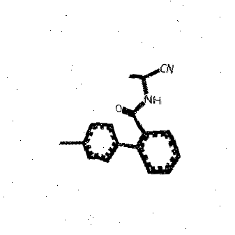 Cc1ccc(-c2ccccc2C(=O)NC(C)C#N)cc1